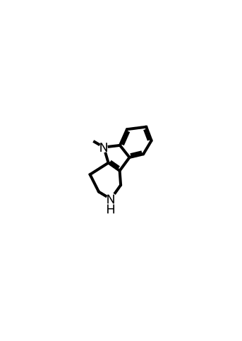 Cn1c2c(c3ccccc31)CNCC2